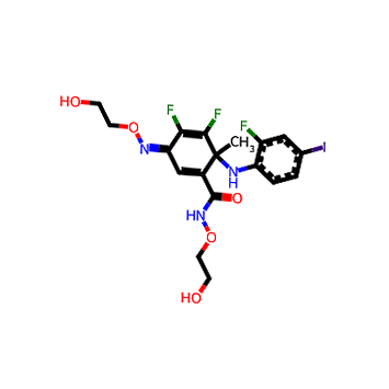 CC1(Nc2ccc(I)cc2F)C(C(=O)NOCCO)=CC(=NOCCO)C(F)=C1F